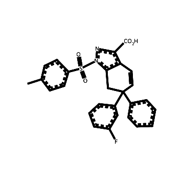 Cc1ccc(S(=O)(=O)n2nc(C(=O)O)c3c2CC(c2ccccc2)(c2cccc(F)c2)C=C3)cc1